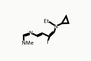 CCN(\C=C(I)/C=C/N=C\NC)C1CC1